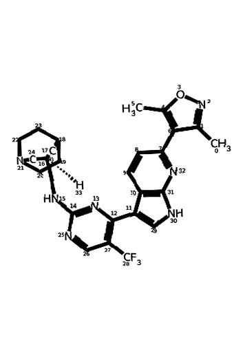 Cc1noc(C)c1-c1ccc2c(-c3nc(N[C@@H]4CC5CCN(CC5)C4)ncc3C(F)(F)F)c[nH]c2n1